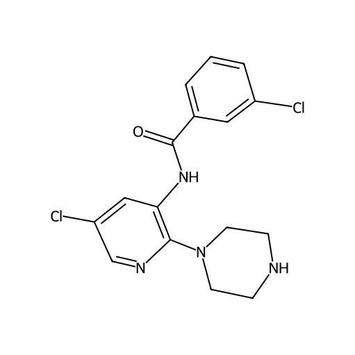 O=C(Nc1cc(Cl)cnc1N1CCNCC1)c1cccc(Cl)c1